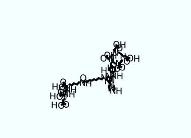 O=C(O)CC[C@H](NC(=O)N[C@@H](CCCCCNC(=O)CCCCCCCNc1nc(Nc2ccc(CC3CN(C(=O)O)CCN(CC(=O)O)CCN(CC(=O)O)CCN3CC(=O)O)cc2)nc(N2CCNCC2)n1)C(=O)O)C(=O)O